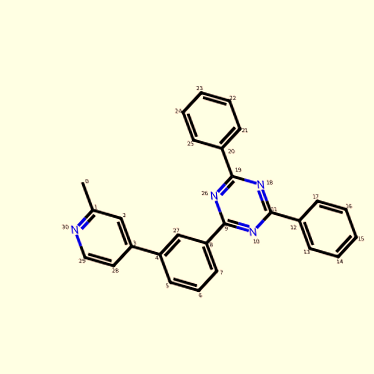 Cc1cc(-c2cccc(-c3nc(-c4ccccc4)nc(-c4ccccc4)n3)c2)ccn1